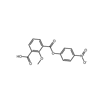 COc1c(C(=O)O)cccc1C(=O)Oc1ccc([N+](=O)[O-])cc1